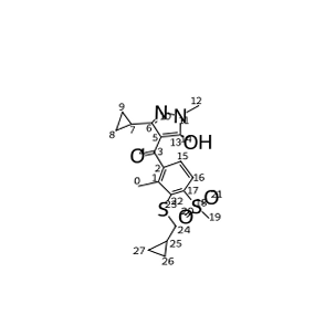 Cc1c(C(=O)c2c(C3CC3)nn(C)c2O)ccc(S(C)(=O)=O)c1SCC1CC1